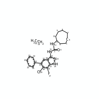 O=C(N[C]1CCCCCCC1)Nc1n[nH]c2c(F)c(Cl)c(-c3ccccc3)cc12.[CH2].[CH2]